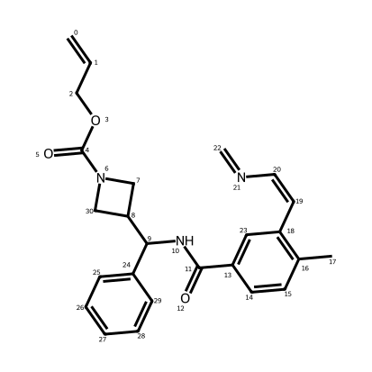 C=CCOC(=O)N1CC(C(NC(=O)c2ccc(C)c(/C=C\N=C)c2)c2ccccc2)C1